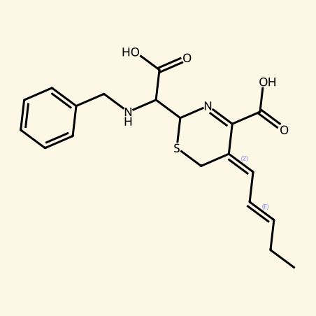 CC/C=C/C=C1\CSC(C(NCc2ccccc2)C(=O)O)N=C1C(=O)O